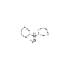 C1CCC(NC2CCCCC2)CC1.O